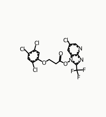 O=C(CCOc1cc(Cl)c(Cl)cc1Cl)On1c(C(F)(F)F)nc2ncc(Cl)cc21